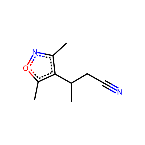 Cc1noc(C)c1C(C)CC#N